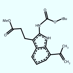 C=C(C)c1cccc2c(CCC(=O)OC)c(NC(=O)OC(C)(C)C)[nH]c12